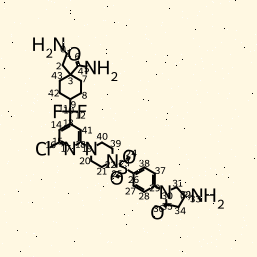 NCCC1(C(N)=O)CCC(C(F)(F)c2cc(Cl)nc(N3CCN(S(=O)(=O)c4ccc(N5C[C@H](N)CC5=O)cc4)CC3)c2)CC1